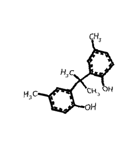 Cc1ccc(O)c(C(C)(C)c2cc(C)ccc2O)c1